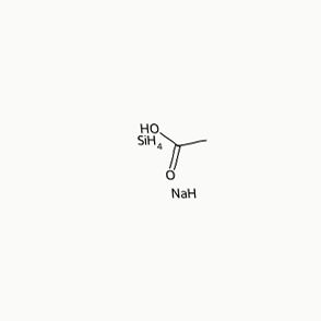 CC(=O)O.[NaH].[SiH4]